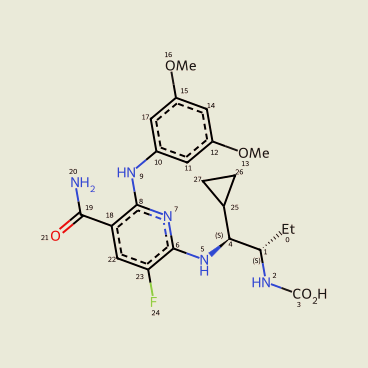 CC[C@H](NC(=O)O)[C@@H](Nc1nc(Nc2cc(OC)cc(OC)c2)c(C(N)=O)cc1F)C1CC1